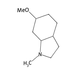 COC1CCC2CCN(C)C2C1